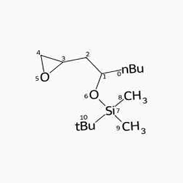 CCCCC(CC1CO1)O[Si](C)(C)C(C)(C)C